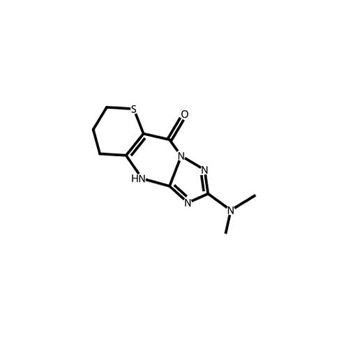 CN(C)c1nc2[nH]c3c(c(=O)n2n1)SCCC3